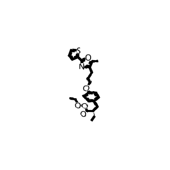 CCOOC(=O)[C@@H](CC)Cc1ccc(OCCCc2nc(-c3cccs3)oc2C)cc1